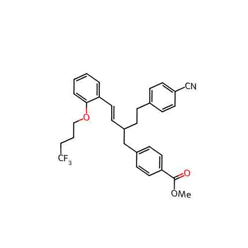 COC(=O)c1ccc(CC(C=Cc2ccccc2OCCCC(F)(F)F)CCc2ccc(C#N)cc2)cc1